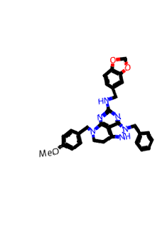 COc1ccc(CN2CCC3NN(Cc4ccccc4)c4nc(NCc5ccc6c(c5)OCO6)nc2c43)cc1